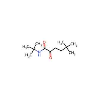 CC(C)(C)CCC(=O)C(=O)NC(C)(C)C